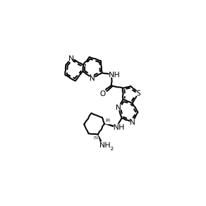 N[C@H]1CCCC[C@H]1Nc1ncc2scc(C(=O)Nc3ccc4ncccc4n3)c2n1